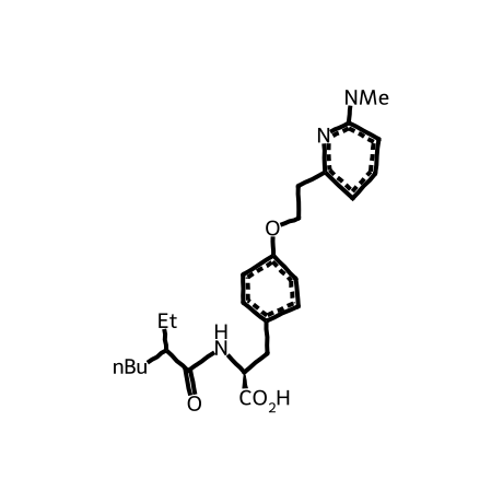 CCCCC(CC)C(=O)N[C@@H](Cc1ccc(OCCc2cccc(NC)n2)cc1)C(=O)O